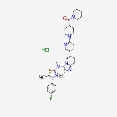 CCc1nc2ccc(-c3ccc(N4CCC(C(=O)N5CCCCC5)CC4)nc3)cn2c1N(C)c1nc(-c2ccc(F)cc2)c(C#N)s1.Cl